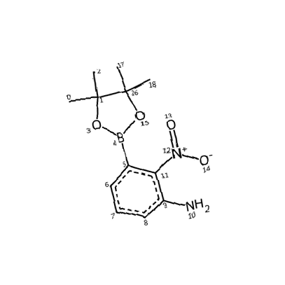 CC1(C)OB(c2cccc(N)c2[N+](=O)[O-])OC1(C)C